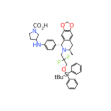 C[C@@H]1Cc2cc3c(cc2[C@@H](c2ccc(N[C@H]4CCN(C(=O)O)C4)cc2)N1CC(F)(F)CO[Si](c1ccccc1)(c1ccccc1)C(C)(C)C)OCO3